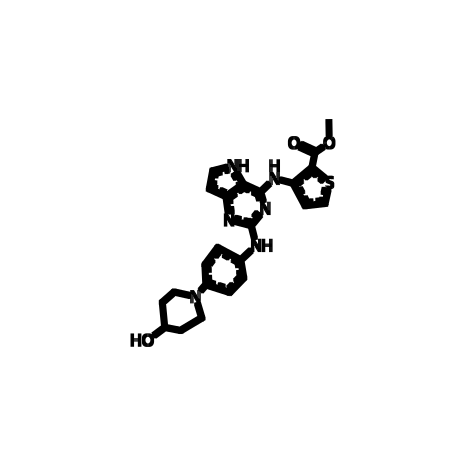 COC(=O)c1sccc1Nc1nc(Nc2ccc(N3CCC(O)CC3)cc2)nc2cc[nH]c12